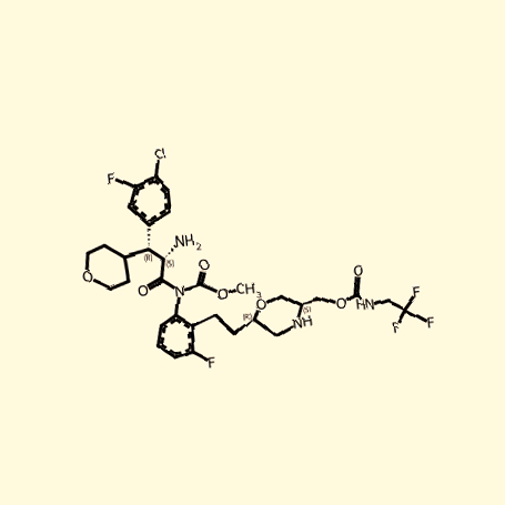 COC(=O)N(C(=O)[C@@H](N)[C@@H](c1ccc(Cl)c(F)c1)C1CCOCC1)c1cccc(F)c1CC[C@@H]1CN[C@H](COC(=O)NCC(F)(F)F)CO1